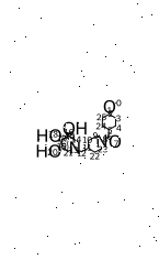 COC1CCC(C(=O)N2CCC(CN3C[C@@H](O)[C@H](O)[C@@H](O)C3)CC2)CC1